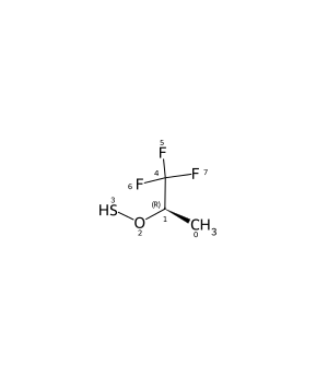 C[C@@H](OS)C(F)(F)F